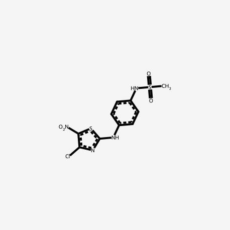 CS(=O)(=O)Nc1ccc(Nc2nc(Cl)c([N+](=O)[O-])s2)cc1